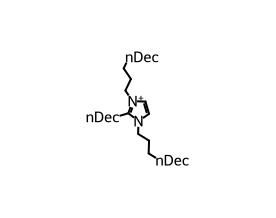 CCCCCCCCCCCCCn1cc[n+](CCCCCCCCCCCCC)c1CCCCCCCCCC